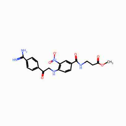 COC(=O)CCNC(=O)c1ccc(NCC(=O)c2ccc(C(=N)N)cc2)c([N+](=O)[O-])c1